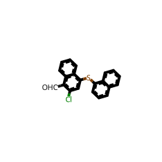 O=Cc1c(Cl)cc(Sc2cccc3ccccc23)c2ccccc12